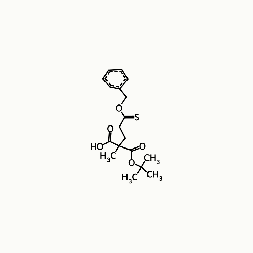 CC(C)(C)OC(=O)C(C)(CCC(=S)OCc1ccccc1)C(=O)O